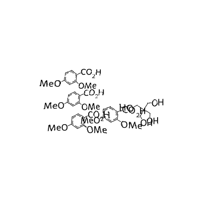 COc1ccc(C(=O)O)c(OC)c1.COc1ccc(C(=O)O)c(OC)c1.COc1ccc(C(=O)O)c(OC)c1.COc1ccc(C(=O)O)c(OC)c1.OCC(CO)(CO)CO